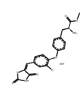 COC(=O)[C@@H](N)Cc1ccc(Oc2ccc(/C=C3/SC(=S)NC3=O)cc2Cl)cc1.Cl